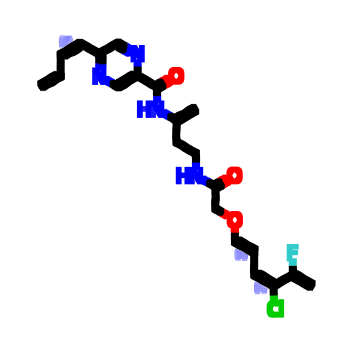 C=C/C=C\c1cnc(C(=O)NC(=C)CCNC(=O)CO/C=C/C=C(/Cl)C(=C)F)cn1